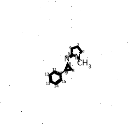 CN1CCCC1=N[C@@H]1C[C@H]1c1ccccc1